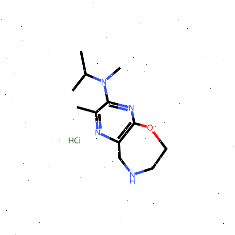 Cc1nc2c(nc1N(C)C(C)C)OCCNC2.Cl